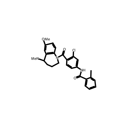 CNC1CCCN(C(=O)c2ccc(NC(=O)c3ccccc3C)cc2Cl)c2ccc(OC)cc21